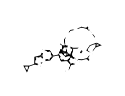 CC(=O)c1nn2c3c(cc(-c4cnc5cc(C6CC6)nn5c4)cc13)CCCCCCC(=O)NC[C@]13CC1N(C(=O)C2)[C@H](C(=O)Nc1nc(C(F)(F)F)ccc1C)C3